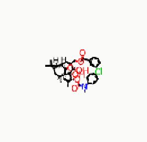 CC1=C[C@]23C(=O)[C@@H](C=C(COC(=O)c4ccccc4)[C@@H](O)[C@]2(O)[C@H]1OC(=O)N(C)c1ccc(Cl)cc1)[C@H]1C(C[C@H]3C)C1(C)C